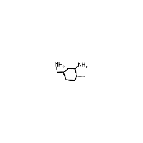 CC1CCC(CN)CC1N